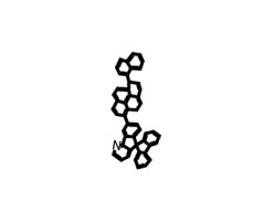 C1=CC(c2cccc3ccccc23)c2ccc3ccc(-c4ccc5c(c4)-c4ncccc4C54c5ccccc5-c5ccccc54)c4c3c2C1=CC4